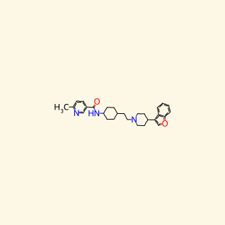 Cc1ccc(C(=O)NC2CCC(CCN3CCC(c4coc5ccccc45)CC3)CC2)cn1